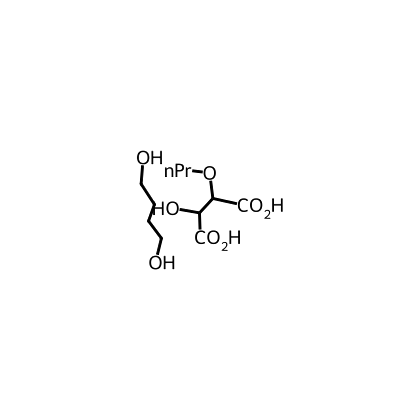 CCCOC(C(=O)O)C(O)C(=O)O.OCCCCO